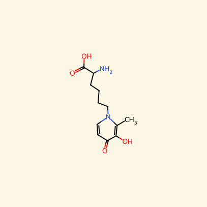 Cc1c(O)c(=O)ccn1CCCCC(N)C(=O)O